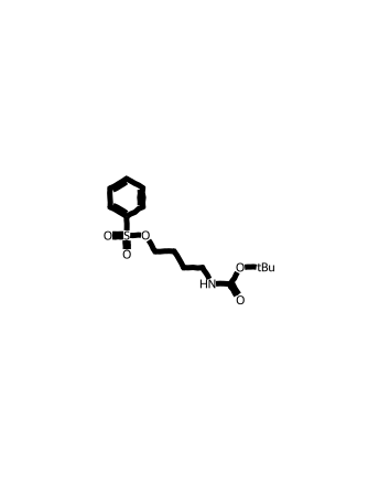 CC(C)(C)OC(=O)NCCCCOS(=O)(=O)c1ccccc1